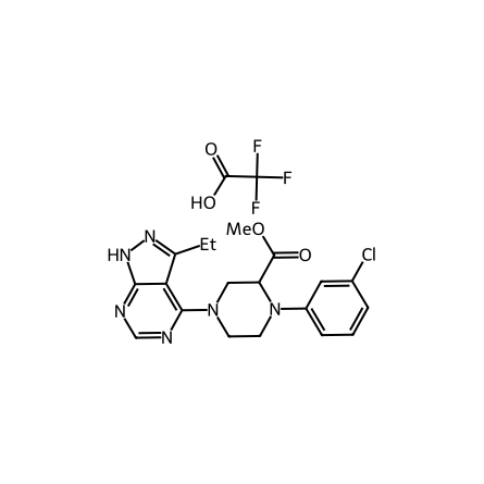 CCc1n[nH]c2ncnc(N3CCN(c4cccc(Cl)c4)C(C(=O)OC)C3)c12.O=C(O)C(F)(F)F